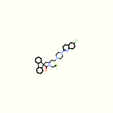 O=C(NCC(F)(F)F)C1(CCCCN2CCN(c3ccc4cc(Cl)ccc4n3)CC2)c2ccccc2-c2ccccc21